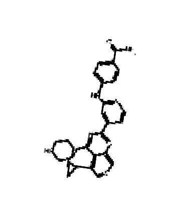 NC(=O)c1ccc(Nc2cc(-c3nc(N4CCNCC4)c4c(C5CC5)cncc4n3)ccn2)cc1